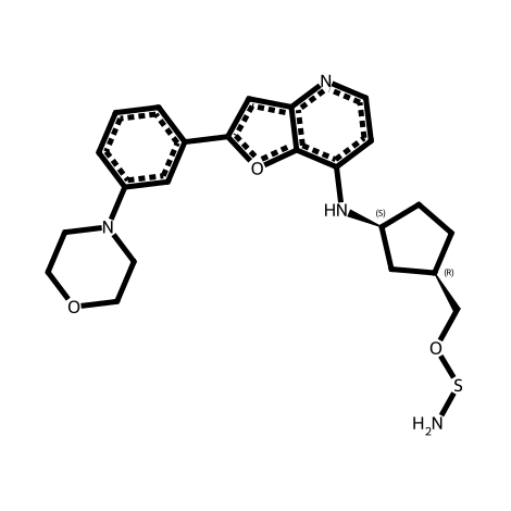 NSOC[C@@H]1CC[C@H](Nc2ccnc3cc(-c4cccc(N5CCOCC5)c4)oc23)C1